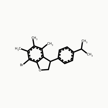 Cc1c(C)c(Br)c2c(c1C)C(c1ccc(C(C)C)cc1)CO2